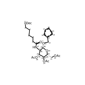 CCCCCCCCCCCCCCCC(=O)N[C@H]1[C@H](OCc2ccccc2)O[C@H](COC(C)=O)[C@@H](OC(C)=O)[C@@H]1OC(C)=O